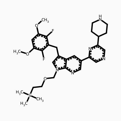 COc1cc(OC)c(F)c(Cc2cn(COCC[Si](C)(C)C)c3ncc(-c4cncc(C5CCNCC5)n4)cc23)c1F